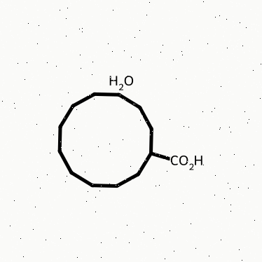 O.O=C(O)C1CCCCCCCCCCC1